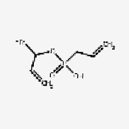 C=CCP(=O)(O)OC(C=C)CCC